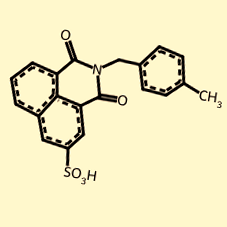 Cc1ccc(CN2C(=O)c3cccc4cc(S(=O)(=O)O)cc(c34)C2=O)cc1